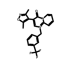 Cc1noc(C)c1-c1c[n+](Cc2cccc(C(F)(F)F)c2)c2ccccn2c1=O